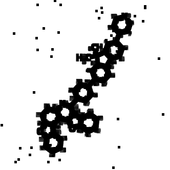 CC1(C)c2cc(-c3ccncc3)ccc2-c2ccc(-c3ccc(-c4nc5ccc6oc7ccccc7c6c5c5oc6ccccc6c45)cc3)cc21